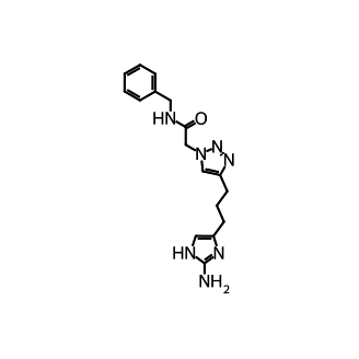 Nc1nc(CCCc2cn(CC(=O)NCc3ccccc3)nn2)c[nH]1